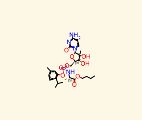 CCCCOC(=O)[C@H](C)NP(=O)(OC[C@H]1OC(n2ccc(N)nc2=O)[C@](C)(O)[C@@H]1O)Oc1cc(C)ccc1C(C)C